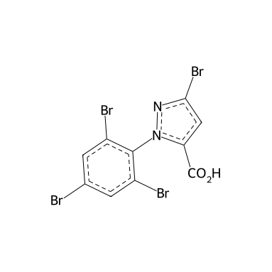 O=C(O)c1cc(Br)nn1-c1c(Br)cc(Br)cc1Br